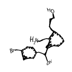 Nc1c(CCO)cccc1C(O)c1ccc(Br)cc1